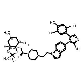 CC(C)c1cc(-c2nnc(O)n2-c2ccc3c(ccn3CCC3CCN(C(=O)C[C@]45OC(C)(C)O[C@H]4C[C@H](C)C[C@@H]5C)CC3)c2)c(O)cc1O